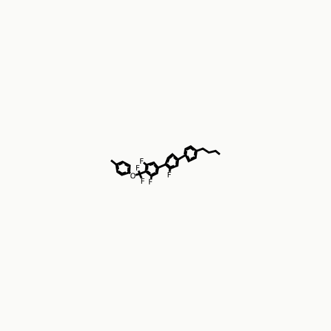 CCCCc1ccc(-c2ccc(-c3cc(F)c(C(F)(F)Oc4ccc(C)cc4)c(F)c3)c(F)c2)cc1